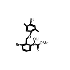 CCc1cc(C)c(OCc2c(Br)cccc2N(O)C(=S)OC)cc1C